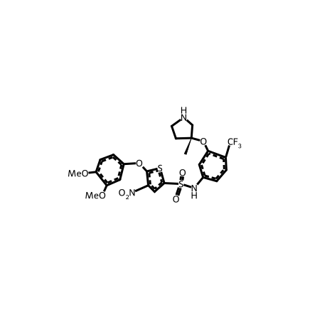 COc1ccc(Oc2sc(S(=O)(=O)Nc3ccc(C(F)(F)F)c(O[C@]4(C)CCNC4)c3)cc2[N+](=O)[O-])cc1OC